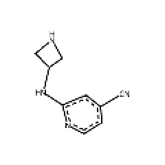 N#Cc1ccnc(NC2CNC2)c1